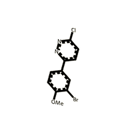 COc1ccc(-c2ccc(Cl)nn2)cc1Br